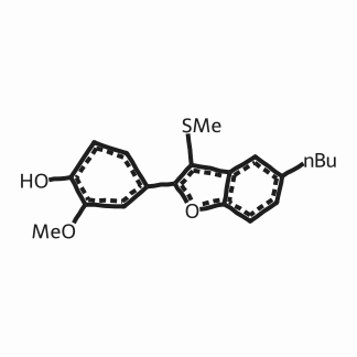 CCCCc1ccc2oc(-c3ccc(O)c(OC)c3)c(SC)c2c1